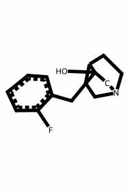 OC1(Cc2ccccc2F)CN2CCC1CC2